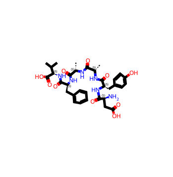 CC(C)[C@H](NC(=O)[C@H](Cc1ccccc1)NC(=O)[C@H](C)NC(=O)[C@H](C)NC(=O)[C@H](Cc1ccc(O)cc1)NC(=O)[C@@H](N)CC(=O)O)C(=O)O